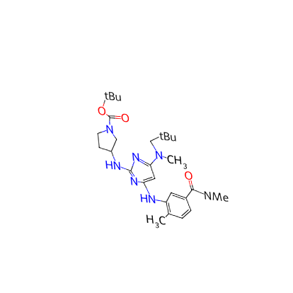 CNC(=O)c1ccc(C)c(Nc2cc(N(C)CC(C)(C)C)nc(NC3CCN(C(=O)OC(C)(C)C)C3)n2)c1